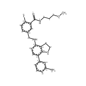 COCCCNC(=O)c1cc(CNc2ncc(-c3ccnc(N)n3)c3c2CCO3)ccc1F